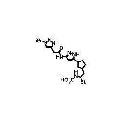 CCC(CC1CCC(c2cc(NC(=O)Cc3cn(C(C)C)nn3)n[nH]2)C1)NC(=O)O